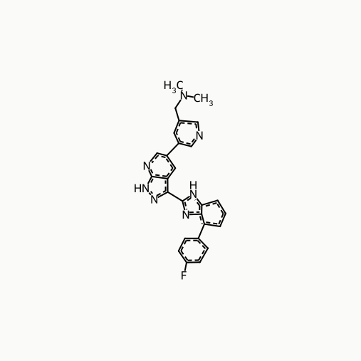 CN(C)Cc1cncc(-c2cnc3[nH]nc(-c4nc5c(-c6ccc(F)cc6)cccc5[nH]4)c3c2)c1